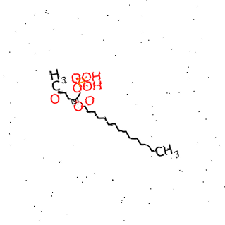 CCCCCCCCCCCCCCC(=O)O[C@@H](CCC(C)=O)COP(=O)(O)O